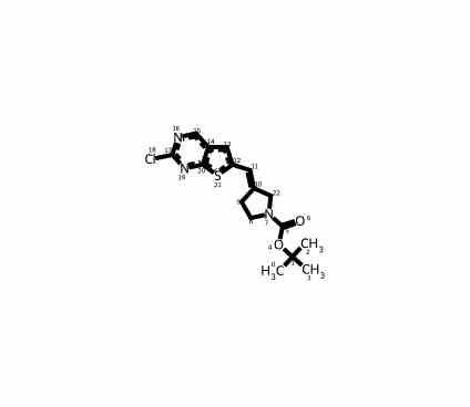 CC(C)(C)OC(=O)N1CC/C(=C\c2cc3cnc(Cl)nc3s2)C1